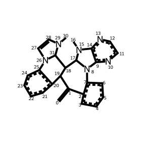 C=C1c2ccccc2N2c3nccnc3N(C)C2C2C1c1ccccc1N1C=CN(C)C21